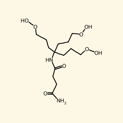 NC(=O)CCC(=O)NC(CCCOO)(CCCOO)CCCOO